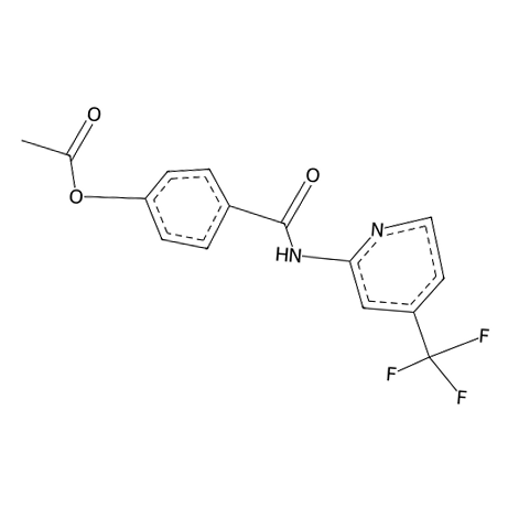 CC(=O)Oc1ccc(C(=O)Nc2cc(C(F)(F)F)ccn2)cc1